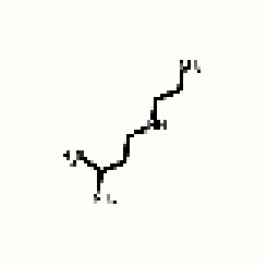 [CH2]CCNCCC(N)N